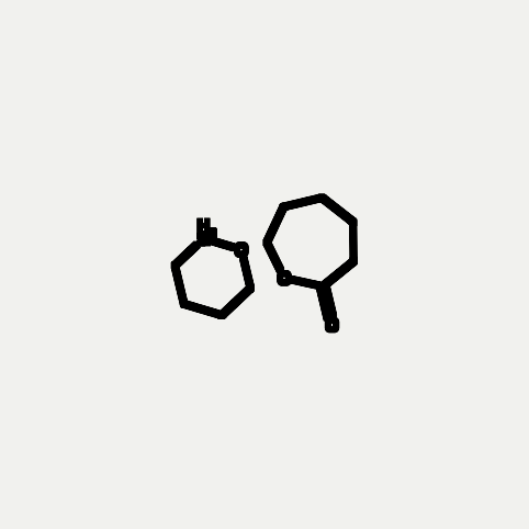 C1CC[SiH2]OC1.O=C1CCCCCO1